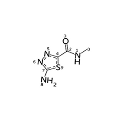 CNC(=O)c1nnc(N)s1